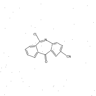 N#Cc1ccc2nc(Cl)c3ccccc3c(=O)c2c1